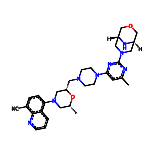 Cc1cc(N2CCN(C[C@H]3CN(c4ccc(C#N)c5ncccc45)C[C@@H](C)O3)CC2)nc(N2C[C@@H]3COC[C@@H](C2)N3)n1